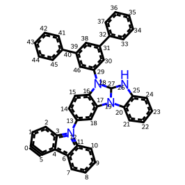 c1ccc2c(c#1)c1ccccc1n2-c1ccc2c(c1)N1c3ccccc3NC1N2c1cc(-c2ccccc2)cc(-c2ccccc2)c1